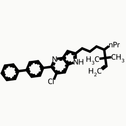 C=CC(C)(C)C(CCC)CCCc1cc2nc(-c3ccc(-c4ccccc4)cc3)c(Cl)cc2[nH]1